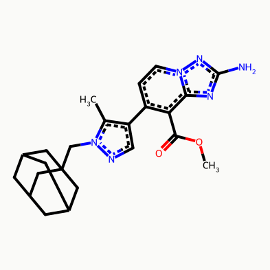 COC(=O)c1c(-c2cnn(CC34CC5CC(CC(C5)C3)C4)c2C)ccn2nc(N)nc12